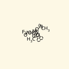 C[C@H]1Oc2c(nc(OCC3CCCN3C)nc2N2CCN(C(=O)CF)CC2)OC1c1cccc2cccc(Cl)c12